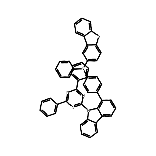 c1ccc(-c2nc(-c3ccccc3)nc(-n3c4ccccc4c4cccc(-c5ccc(N(c6ccccc6)c6ccc7sc8ccccc8c7c6)cc5)c43)n2)cc1